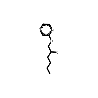 CCCCC(Cl)COc1cnccn1